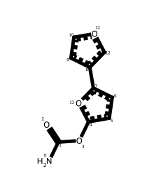 NC(=O)Oc1ccc(-c2ccoc2)o1